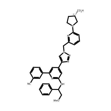 COCC(Nc1cc(-c2cn(Cc3cccc(N4CC[C@H](C(=O)O)C4)n3)nn2)cc(-c2cccc(C#N)c2)n1)c1ccccc1